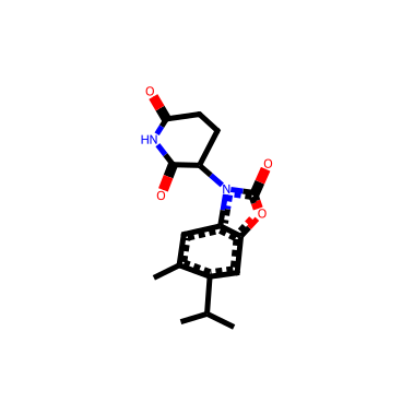 Cc1cc2c(cc1C(C)C)oc(=O)n2C1CCC(=O)NC1=O